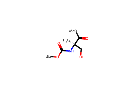 COC(=O)[C@@](C)(CO)NC(=O)OC(C)(C)C